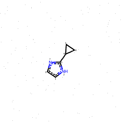 c1c[nH]c(C2CC2)n1